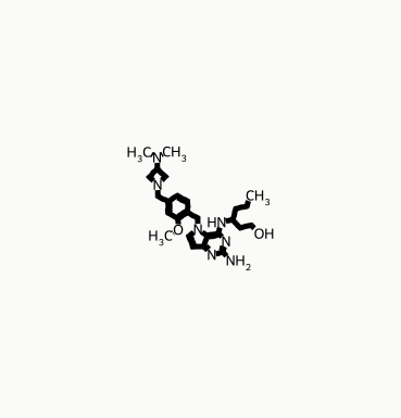 CCCC(CCO)Nc1nc(N)nc2ccn(Cc3ccc(CN4CC(N(C)C)C4)cc3OC)c12